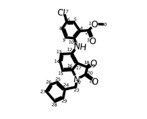 COC(=O)c1cc(Cl)ccc1Nc1cccc2c1C(=O)C(=O)N2Cc1ccccc1